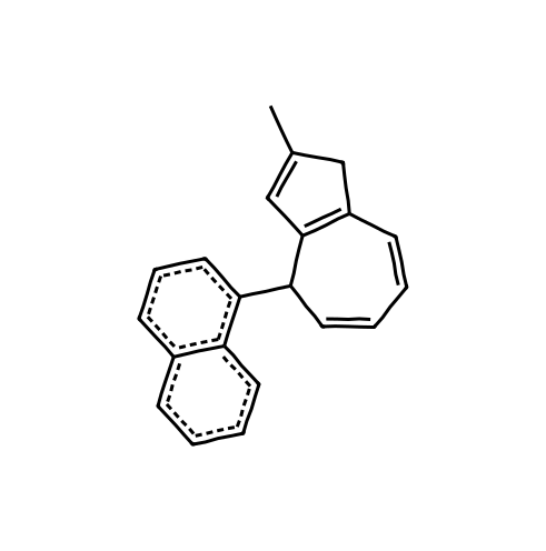 CC1=CC2=C(C=CC=CC2c2cccc3ccccc23)C1